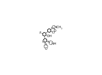 CN1CCN(c2ccc(-c3cc(F)cc(-c4cnc(N5CCOCC5)c(N5CCNCC5)c4)c3O)cc2Cl)C1=O